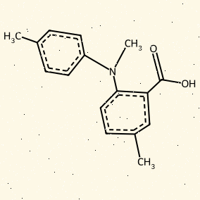 Cc1ccc(N(C)c2ccc(C)cc2C(=O)O)cc1